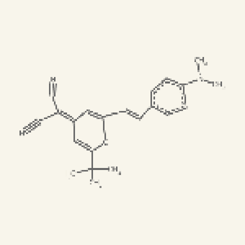 CN(C)c1ccc(C=CC2=CC(=C(C#N)C#N)C=C(C(C)(C)C)O2)cc1